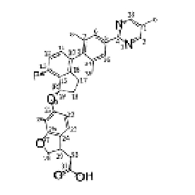 Cc1cnc(-c2cc(C)c(-c3ccc(F)c4c3CC[C@H]4Oc3ccc4c(c3)OCC4CC(=O)O)c(C)c2)nc1